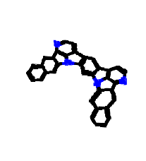 c1ccc2cc3c(cc2c1)c1nccc2c4cc5c6ccnc7c8cc9ccccc9cc8n(c5cc4n3c21)c67